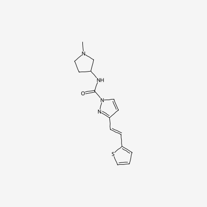 CN1CCC(NC(=O)n2ccc(/C=C/c3cccs3)n2)C1